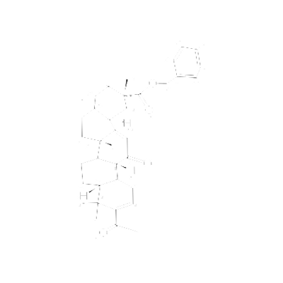 CC(=O)C1=CC[C@]2(C)[C@H]3C(=O)C=C4[C@@H]5C[C@@](C)(C(=O)OCc6ccccc6)CC[C@]5(C)CC[C@@]4(C)[C@]3(C)CC[C@H]2C1(C)C